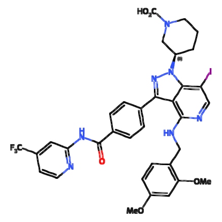 COc1ccc(CNc2ncc(I)c3c2c(-c2ccc(C(=O)Nc4cc(C(F)(F)F)ccn4)cc2)nn3[C@@H]2CCCN(C(=O)O)C2)c(OC)c1